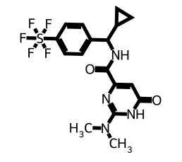 CN(C)c1nc(C(=O)NC(c2ccc(S(F)(F)(F)(F)F)cc2)C2CC2)cc(=O)[nH]1